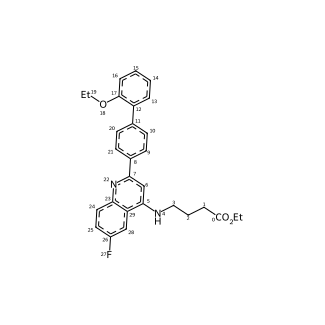 CCOC(=O)CCCNc1cc(-c2ccc(-c3ccccc3OCC)cc2)nc2ccc(F)cc12